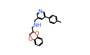 Cc1ccc(-c2cncc(CNCC3COc4ccccc4O3)c2)cc1